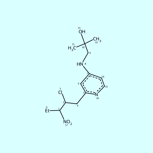 CCC(C(Cl)Cc1cc(NCC(C)(C)O)ccn1)[N+](=O)[O-]